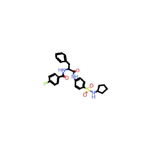 O=C(NC(Cc1ccccc1)C(=O)Nc1ccc(S(=O)(=O)NC2CCCC2)cc1)c1ccc(F)cc1